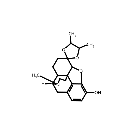 CC1OC2(CCC3[C@H]4Cc5ccc(O)c6c5[C@@]3(CCN4C)C2O6)OC1C